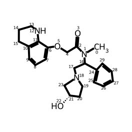 CN(C(=O)COc1cccc2c1NCCC2)C(CN1CC[C@H](O)C1)c1ccccc1